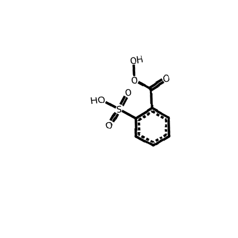 O=C(OO)c1ccccc1S(=O)(=O)O